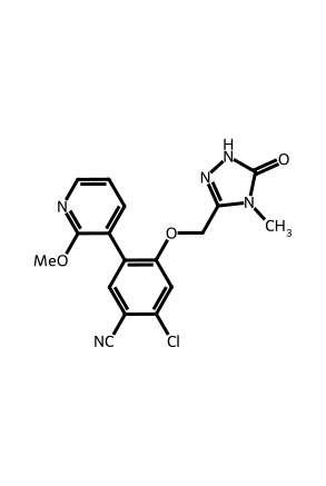 COc1ncccc1-c1cc(C#N)c(Cl)cc1OCc1n[nH]c(=O)n1C